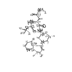 Cc1c(F)cc(N2C[C@@H](C)C[C@@H](NC(=O)[C@H](CC(N)=O)NC(=O)OC(C)(C)C)C2)c2cccnc12